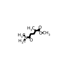 COC(=O)C(C)CCC(=O)N(C)C